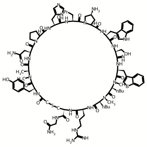 CCCC[C@H]1C(=O)N(C)[C@@H](CCCC)C(=O)N[C@@H](CCCNC(=N)N)C(=O)N[C@H](C(=O)NCC(N)=O)CSCC(=O)N[C@@H](Cc2ccc(O)cc2)C(=O)N(C)[C@@H](C)C(=O)N[C@@H](CC(N)=O)C(=O)N2CCC[C@H]2C(=O)N[C@@H](Cc2cnc[nH]2)C(=O)N[C@@H](CC(C)C)C(=O)N2C[C@@H](N)C[C@H]2C(=O)N[C@@H](Cc2c[nH]c3ccccc23)C(=O)N[C@@H](CO)C(=N)N[C@@H](Cc2csc3ccccc23)C(=O)N1C